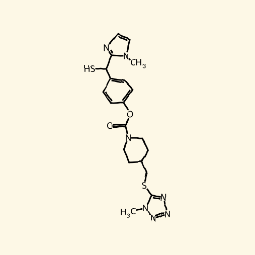 Cn1ccnc1C(S)c1ccc(OC(=O)N2CCC(CSc3nnnn3C)CC2)cc1